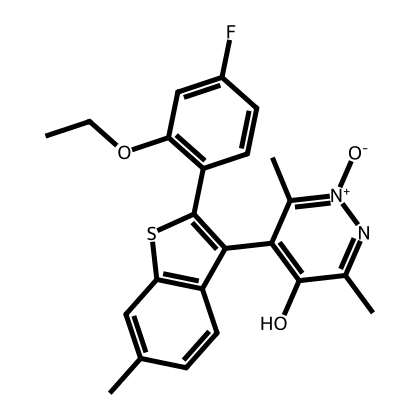 CCOc1cc(F)ccc1-c1sc2cc(C)ccc2c1-c1c(O)c(C)n[n+]([O-])c1C